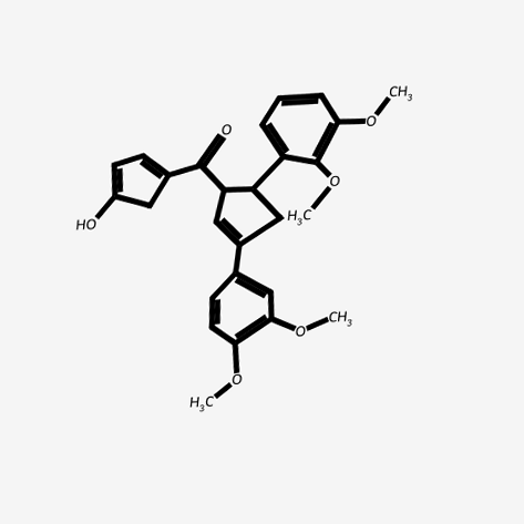 COc1ccc(C2=CC(C(=O)C3=CC=C(O)C3)C(c3cccc(OC)c3OC)C2)cc1OC